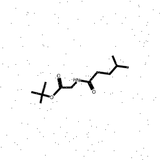 CC(C)CCC(=O)NCC(=O)OC(C)(C)C